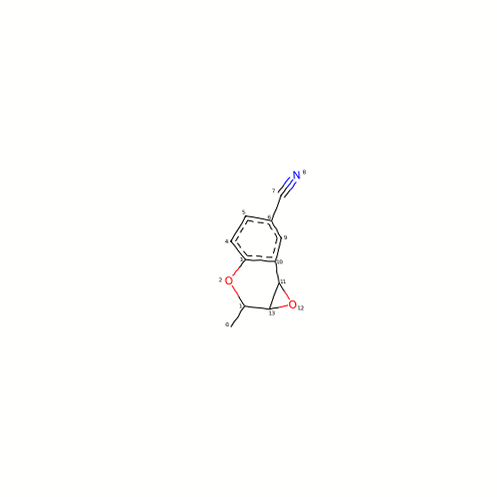 CC1Oc2ccc(C#N)cc2C2OC12